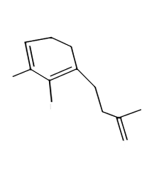 O=C(Cl)CCC1=C(F)C(F)=CCC1